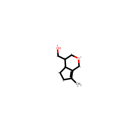 CC1=C2COCC(CO)C2CC1